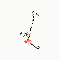 CCCCCCCCCCCCCCCCC(COP(=O)(O)OCCCCN1CCCC1)CC(C)=O